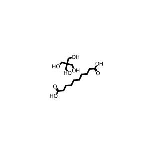 O=C(O)CCCCCCCCC(=O)O.OCC(CO)(CO)CO